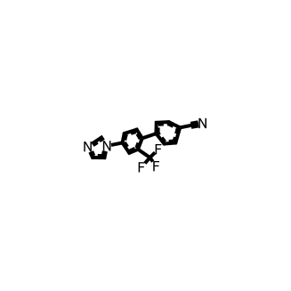 N#Cc1ccc(-c2ccc(-n3ccnc3)cc2C(F)(F)F)cc1